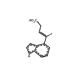 CC(=CCC(=O)O)c1cccc2[nH]ccc12